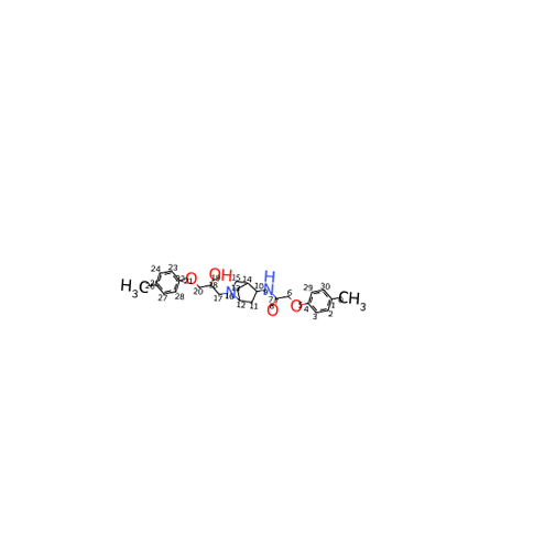 Cc1ccc(OCC(=O)NC2CC3CC2CN3CC(O)COc2ccc(C)cc2)cc1